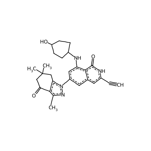 C#Cc1cc2cc(-n3nc(C)c4c3CC(C)(C)CC4=O)cc(NC3CCC(O)CC3)c2c(=O)[nH]1